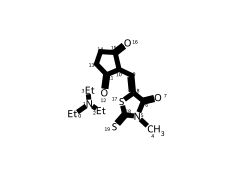 CCN(CC)CC.CN1C(=O)/C(=C/C2C(=O)CCC2=O)SC1=S